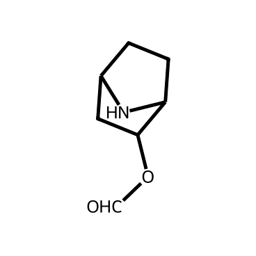 O=COC1CC2CCC1N2